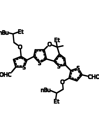 CCCCC(CC)COc1cc(C=O)sc1-c1cc2c(s1)-c1sc(-c3sc(C=O)cc3OCC(CC)CCCC)cc1C(C)(CC)O2